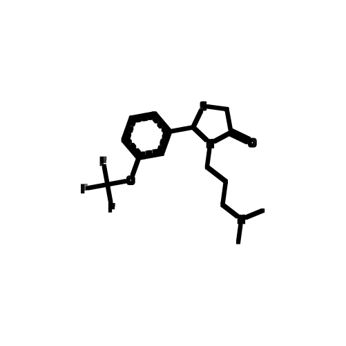 CN(C)CCCN1C(=O)CSC1c1cccc(OC(F)(F)F)c1